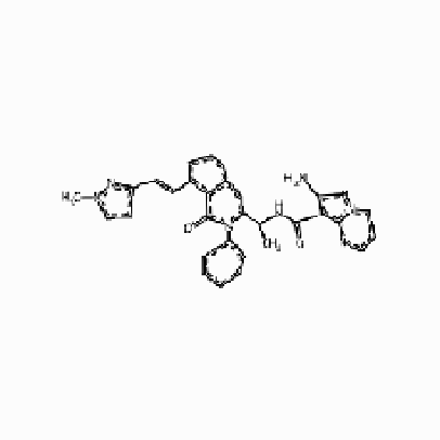 CC(NC(=O)c1c(N)nn2cccnc12)c1cc2cccc(/C=C/c3ccn(C)n3)c2c(=O)n1-c1ccccc1